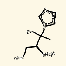 CCCCCCCCCCCC(CCCCCCC)C(C)(CC)n1ccnc1